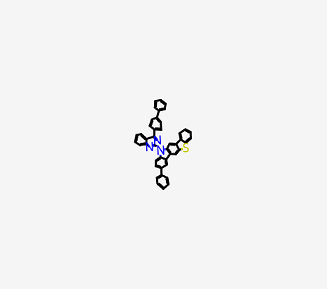 c1ccc(-c2ccc(-c3nc(-n4c5ccc(-c6ccccc6)cc5c5cc6sc7ccccc7c6cc54)nc4ccccc34)cc2)cc1